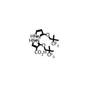 CC(C)(COc1cc[nH]n1)C(F)(F)F.CC(C)(COc1n[nH]cc1C(=O)O)C(F)(F)F